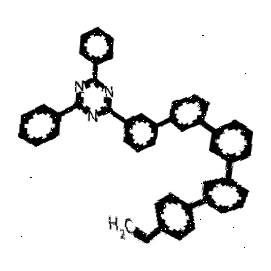 C=Cc1ccc(-c2cccc(-c3cccc(-c4cccc(-c5cccc(-c6nc(-c7ccccc7)nc(-c7ccccc7)n6)c5)c4)c3)c2)cc1